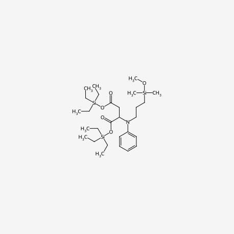 CC[Si](CC)(CC)OC(=O)CC(C(=O)O[Si](CC)(CC)CC)N(CCC[Si](C)(C)OC)c1ccccc1